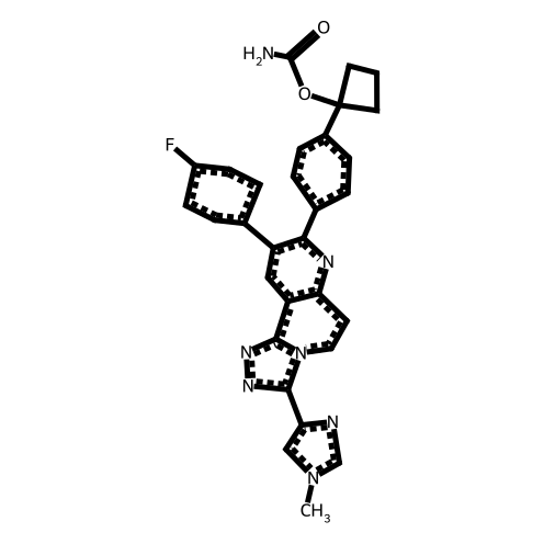 Cn1cnc(-c2nnc3c4cc(-c5ccc(F)cc5)c(-c5ccc(C6(OC(N)=O)CCC6)cc5)nc4ccn23)c1